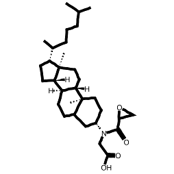 CC(C)CCCC(C)[C@H]1CC[C@H]2[C@@H]3CCC4C[C@@H](N(CC(=O)O)C(=O)C5CO5)CC[C@]4(C)[C@H]3CC[C@]12C